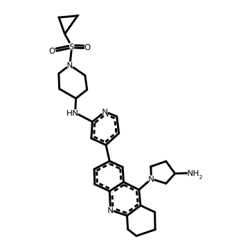 NC1CCN(c2c3c(nc4ccc(-c5ccnc(NC6CCN(S(=O)(=O)C7CC7)CC6)c5)cc24)CCCC3)C1